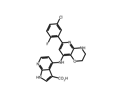 O=C(O)c1c[nH]c2nccc(Nc3cc(-c4cc(Cl)ccc4F)nc4c3OCCN4)c12